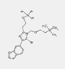 CC(C)[Si](OCCc1nc(-c2ccc3ccoc3c2)c(Br)n1COCC[Si](C)(C)C)(C(C)C)C(C)C